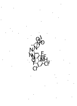 C=CS(=O)(=O)N1CCN(c2ncnn3c(=O)c(-c4c(N)c(Cl)cc(Cl)c4F)c(C(F)(F)F)cc23)[C@@H](C)C1